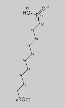 CCCCCCCCCCCCCCCCCC[PH](=O)O